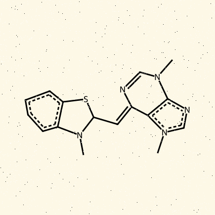 CN1C=NC(=CC2Sc3ccccc3N2C)c2c1ncn2C